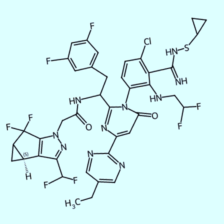 CCc1cnc(-c2cc(=O)n(-c3ccc(Cl)c(C(=N)NSC4CC4)c3NCC(F)F)c(C(Cc3cc(F)cc(F)c3)NC(=O)Cn3nc(C(F)F)c4c3C(F)(F)C3C[C@H]43)n2)nc1